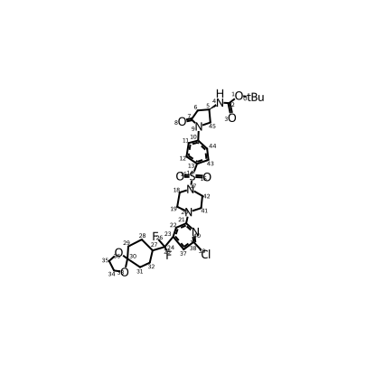 CC(C)(C)OC(=O)N[C@@H]1CC(=O)N(c2ccc(S(=O)(=O)N3CCN(c4cc(C(F)(F)C5CCC6(CC5)OCCO6)cc(Cl)n4)CC3)cc2)C1